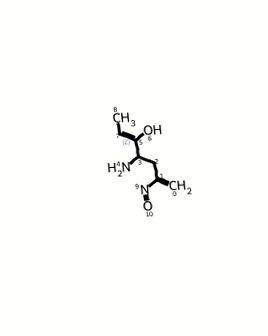 C=C(CC(N)/C(O)=C/C)N=O